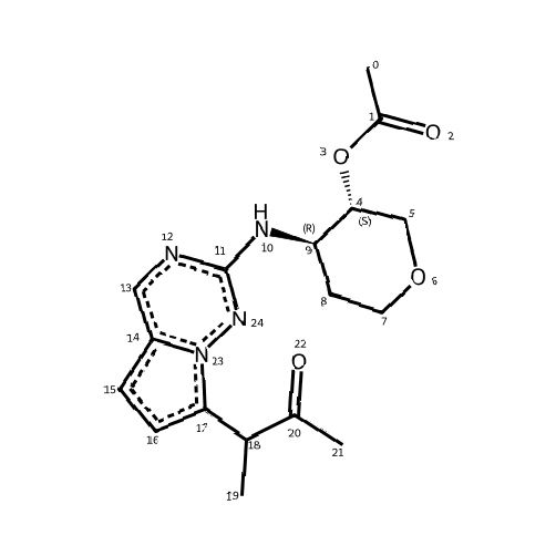 CC(=O)O[C@@H]1COCC[C@H]1Nc1ncc2ccc(C(C)C(C)=O)n2n1